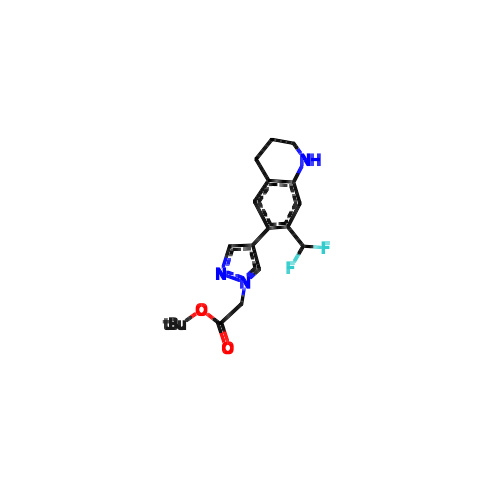 CC(C)(C)OC(=O)Cn1cc(-c2cc3c(cc2C(F)F)NCCC3)cn1